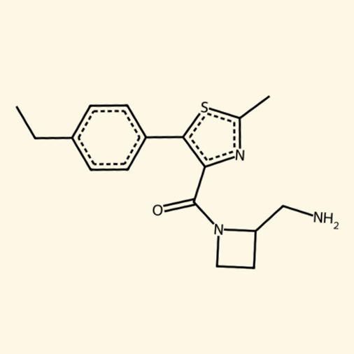 CCc1ccc(-c2sc(C)nc2C(=O)N2CCC2CN)cc1